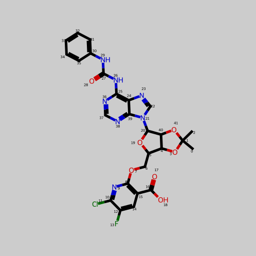 CC1(C)OC2C(COc3nc(Cl)c(F)cc3C(=O)O)OC(n3cnc4c(NC(=O)Nc5ccccc5)ncnc43)C2O1